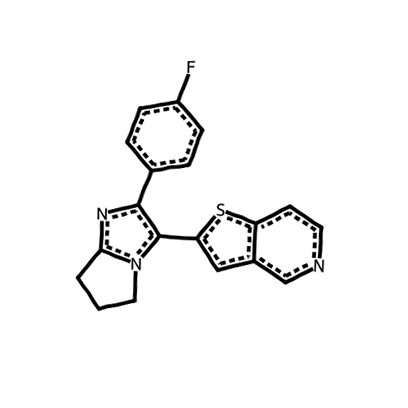 Fc1ccc(-c2nc3n(c2-c2cc4cnccc4s2)CCC3)cc1